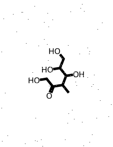 CC(C(=O)CO)C(O)C(O)CO